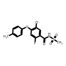 Cc1ccc(Oc2cc(F)c(C(=O)NS(C)(=O)=O)cc2Cl)cc1